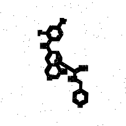 N=C(NCc1ccncc1)C1=NC2=CC(Nc3ccc(Br)cc3F)=CC3=CN=CNC32S1